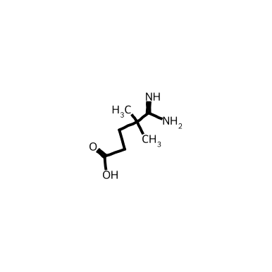 CC(C)(CCC(=O)O)C(=N)N